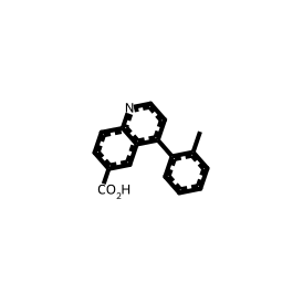 Cc1ccccc1-c1ccnc2ccc(C(=O)O)cc12